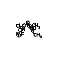 CCCOC(=O)N1CCN(C(=O)c2ccc3c(Cl)c4c(nc3c2)CC(c2ncccc2F)CC4)C[C@@H]1C